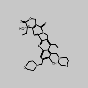 CCc1c2c(nc3cc(CN4CCOCC4)c(O)c(CN4CCOCC4)c13)-c1cc3c(c(=O)n1C2)COC(=O)[C@]3(O)CC